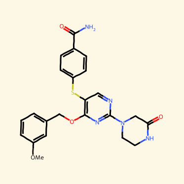 COc1cccc(COc2nc(N3CCNC(=O)C3)ncc2Sc2ccc(C(N)=O)cc2)c1